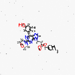 CCOC(=O)CCn1cnc2c(-c3cccc(O)c3)nc(N3CCOCC3)nc21